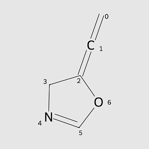 C=C=C1CN=CO1